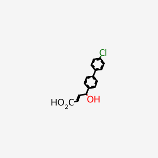 O=C(O)/C=C/C(O)c1ccc(-c2ccc(Cl)cc2)cc1